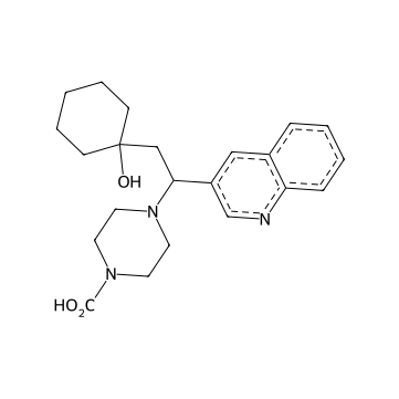 O=C(O)N1CCN(C(CC2(O)CCCCC2)c2cnc3ccccc3c2)CC1